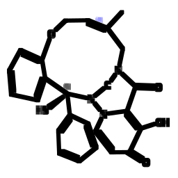 C/C1=C/COc2ccccc2[C@@](S)(c2ccccc2)N2CN(C1)C(=O)c1c(O)c(=O)ccn12